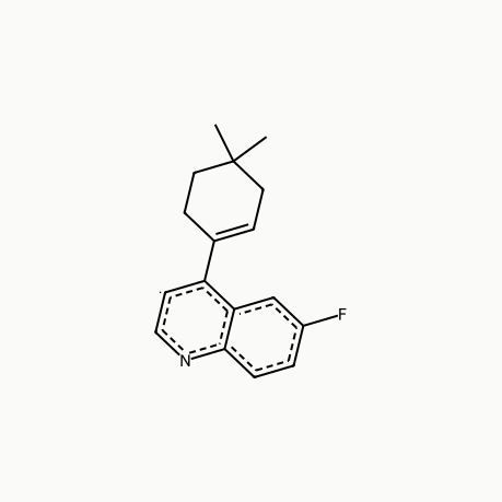 CC1(C)CC=C(c2[c]cnc3ccc(F)cc23)CC1